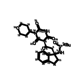 CC(C)(C)[S@@+]([O-])N[C@]1(CC(=O)[C@@H]2C(=O)NC(=O)N(C3CCOCC3)C2=O)CCc2ccccc21